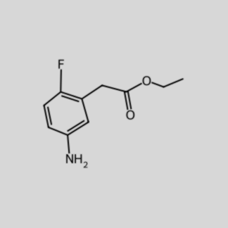 CCOC(=O)Cc1cc(N)ccc1F